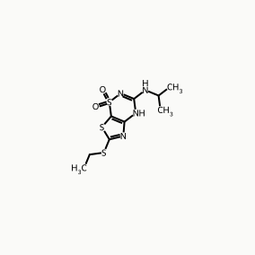 CCSc1nc2c(s1)S(=O)(=O)N=C(NC(C)C)N2